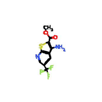 COC(=O)c1sc2ncc(C(F)(F)F)cc2c1N